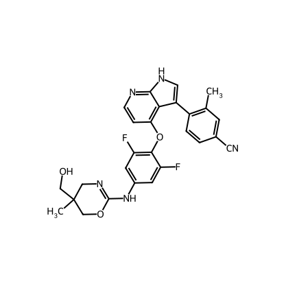 Cc1cc(C#N)ccc1-c1c[nH]c2nccc(Oc3c(F)cc(NC4=NCC(C)(CO)CO4)cc3F)c12